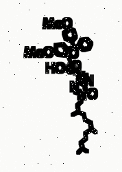 COc1ccc(C(OC[C@H]2O[C@@H](n3cnc4c(=O)n(CC=C(C)CCC=C(C)CCC=C(C)C)cnc43)C[C@@H]2O)(c2ccccc2)c2ccc(OC)cc2)cc1